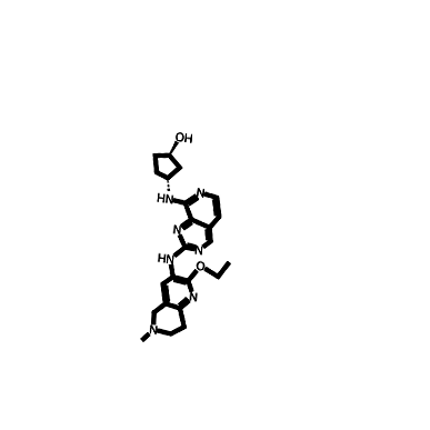 CCOc1nc2c(cc1Nc1ncc3ccnc(N[C@@H]4CC[C@@H](O)C4)c3n1)CN(C)CC2